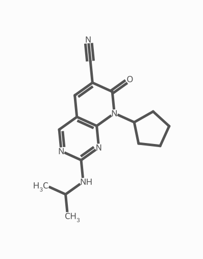 CC(C)Nc1ncc2cc(C#N)c(=O)n(C3CCCC3)c2n1